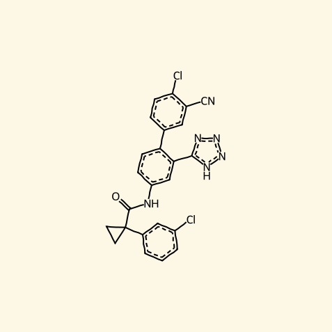 N#Cc1cc(-c2ccc(NC(=O)C3(c4cccc(Cl)c4)CC3)cc2-c2nnn[nH]2)ccc1Cl